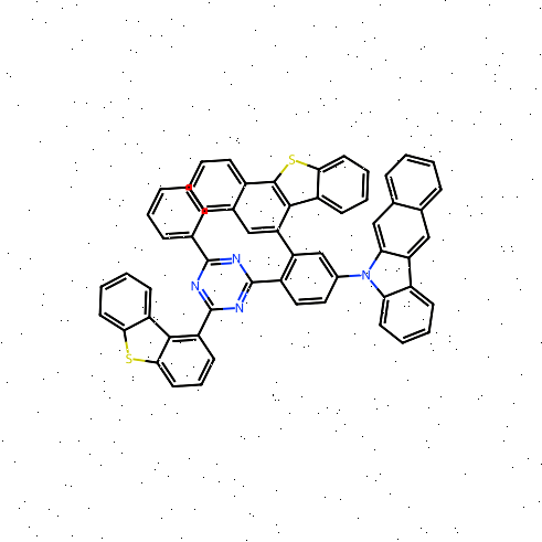 c1ccc(-c2nc(-c3ccc(-n4c5ccccc5c5cc6ccccc6cc54)cc3-c3cc4ccccc4c4sc5ccccc5c34)nc(-c3cccc4sc5ccccc5c34)n2)cc1